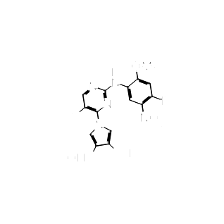 COc1cc(F)c([N+](=O)[O-])cc1Nc1ncc(C)c(-n2cc(C)c(C=O)c2)n1